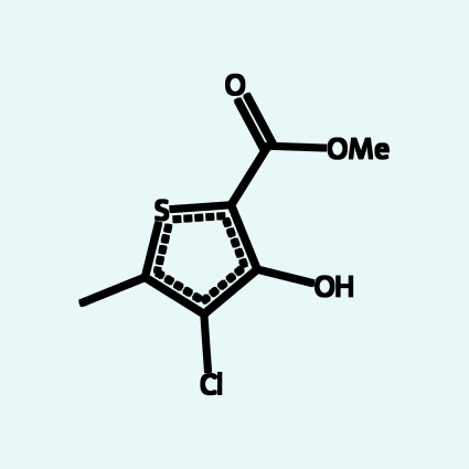 COC(=O)c1sc(C)c(Cl)c1O